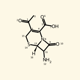 CC(=O)C1=C(C(=O)O)N2C(=O)C(N)[C@@H]2SC1